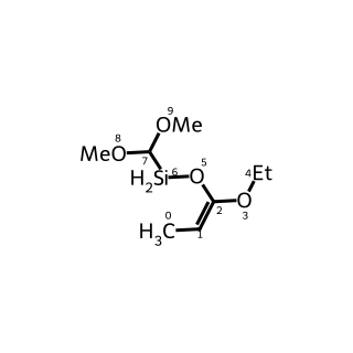 CC=C(OCC)O[SiH2]C(OC)OC